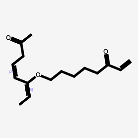 C=CC(=O)CCCCCOC(/C=C\CC(C)=O)=C/C